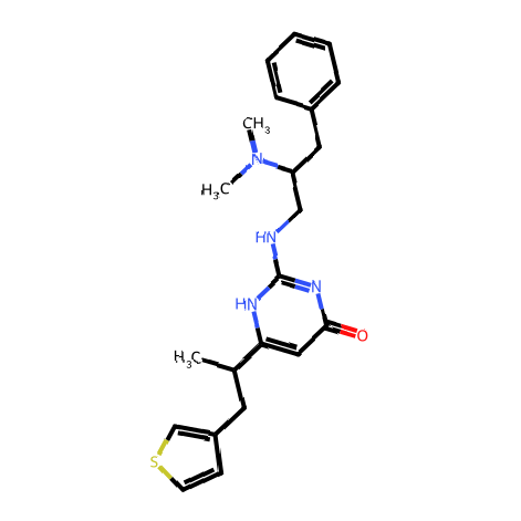 CC(Cc1ccsc1)c1cc(=O)nc(NCC(Cc2ccccc2)N(C)C)[nH]1